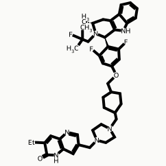 CCc1cc2ncc(CN3CCN(CC4CCC(COc5cc(F)c([C@@H]6c7[nH]c8ccccc8c7C[C@@H](C)N6CC(C)(C)F)c(F)c5)CC4)CC3)cc2[nH]c1=O